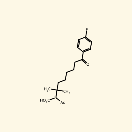 CC(=O)N(C(=O)O)C(C)(C)CCCCCC(=O)c1ccc(F)cc1